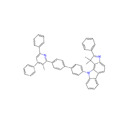 Cc1c(-c2ccccc2)cc(-c2ccccc2)nc1-c1ccc(-c2ccc(-n3c4ccccc4c4ccc5c(c43)C(C)(C)C(c3ccccc3)=N5)cc2)cc1